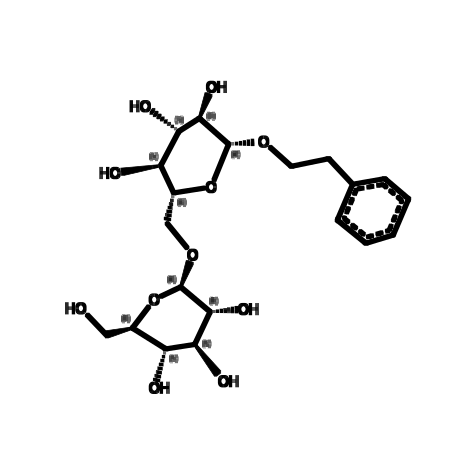 OC[C@H]1O[C@@H](OC[C@H]2O[C@@H](OCCc3ccccc3)[C@H](O)[C@@H](O)[C@@H]2O)[C@H](O)[C@@H](O)[C@@H]1O